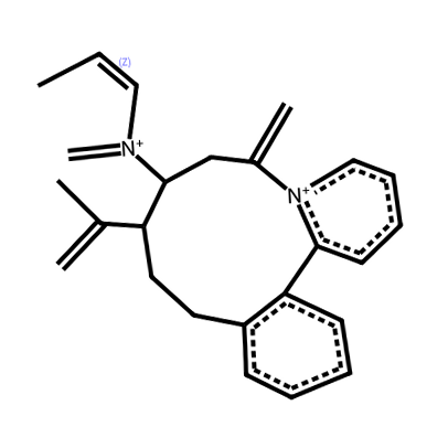 C=C(C)C1CCc2ccccc2-c2cccc[n+]2C(=C)CC1[N+](=C)/C=C\C